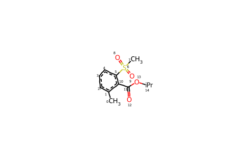 Cc1[c]ccc(S(C)(=O)=O)c1C(=O)OC(C)C